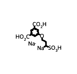 O=C(O)c1cc(OCC[CH]([Na])S(=O)(=O)O)cc(C(=O)O)c1.[Na]